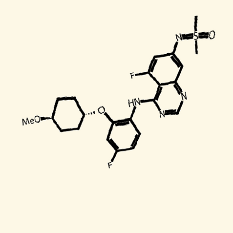 CO[C@H]1CC[C@H](Oc2cc(F)ccc2Nc2ncnc3cc(N=S(C)(C)=O)cc(F)c23)CC1